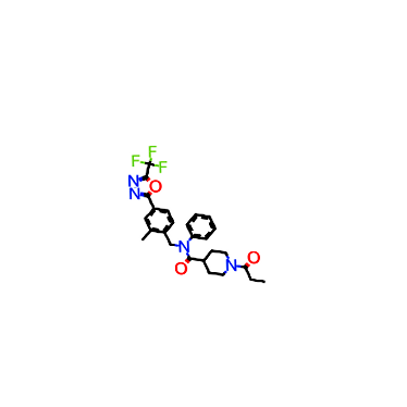 CCC(=O)N1CCC(C(=O)N(Cc2ccc(-c3nnc(C(F)(F)F)o3)cc2C)c2ccccc2)CC1